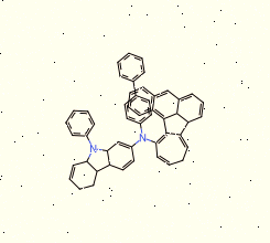 C1=CC2C3=CCC=CC(N(C4=CC5C(C=C4)C4CCC=CC4N5c4ccccc4)c4ccc(-c5ccccc5)cc4)=C3C3=c4ccccc4=CC(=C1)C32